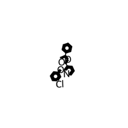 Clc1cccc(Oc2ncccc2[C@H]2OC[C@@H](c3ccccc3)O2)c1